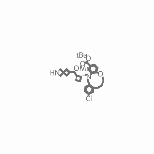 CO[C@@H](C1=CC2(CNC2)C1)[C@@H]1CC[C@H]1CN1Cc2ccc(Cl)cc2CCCCOc2ccc(C(=O)OC(C)(C)C)cc21